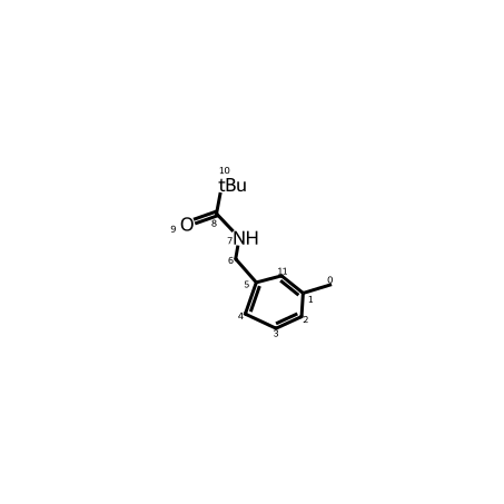 Cc1cccc(CNC(=O)C(C)(C)C)c1